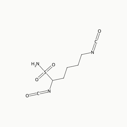 NS(=O)(=O)C(CCCCN=C=O)N=C=O